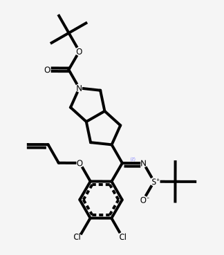 C=CCOc1cc(Cl)c(Cl)cc1/C(=N\[S+]([O-])C(C)(C)C)C1CC2CN(C(=O)OC(C)(C)C)CC2C1